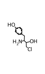 NC(Cc1ccc(O)cc1)C(O)CCl